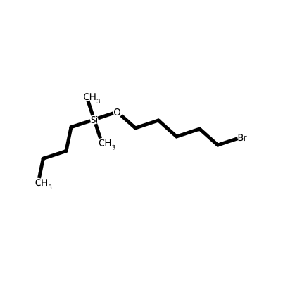 CCCC[Si](C)(C)OCCCCCBr